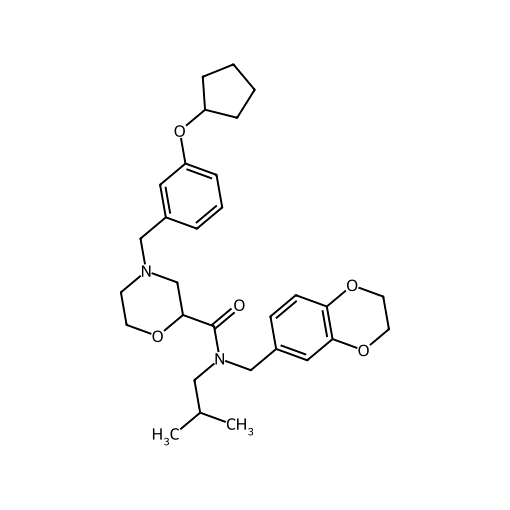 CC(C)CN(Cc1ccc2c(c1)OCCO2)C(=O)C1CN(Cc2cccc(OC3CCCC3)c2)CCO1